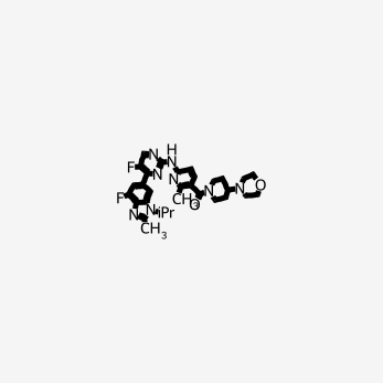 Cc1nc(Nc2ncc(F)c(-c3cc(F)c4nc(C)n(C(C)C)c4c3)n2)ccc1C(=O)N1CCC(N2CCOCC2)CC1